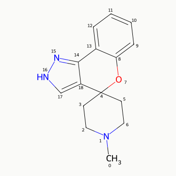 CN1CCC2(CC1)Oc1ccccc1-c1n[nH]cc12